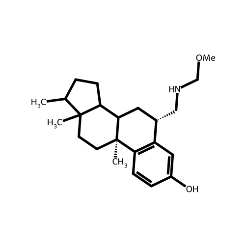 COCNC[C@H]1CC2C3CCC(C)C3(C)CC[C@]2(C)c2ccc(O)cc21